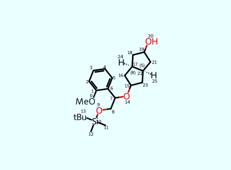 COc1ccccc1C(CO[Si](C)(C)C(C)(C)C)OC1C[C@H]2CC(O)C[C@H]2C1